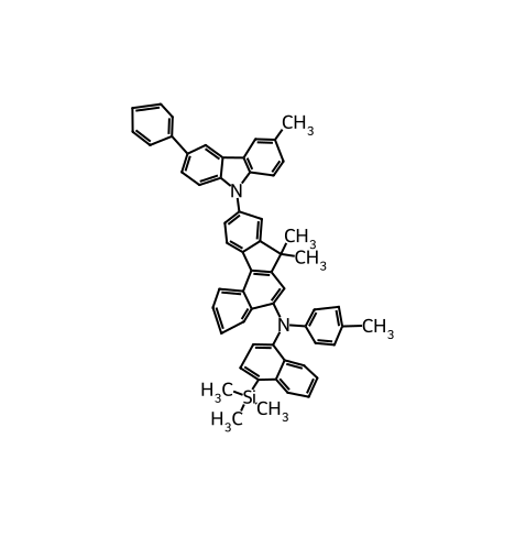 Cc1ccc(N(c2ccc([Si](C)(C)C)c3ccccc23)c2cc3c(c4ccccc24)-c2ccc(-n4c5ccc(C)cc5c5cc(-c6ccccc6)ccc54)cc2C3(C)C)cc1